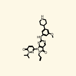 C=CCn1c(=O)c2cnc(Nc3cc(OC)cc(C4CCNCC4)c3)nc2n1-c1ccc(=O)n(C(C)C)n1